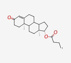 [CH]CCC(=O)O[C@H]1CCC2C3CCC4=CC(=O)CC[C@]4(C)C3CC[C@@]21C